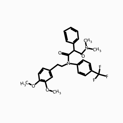 COc1ccc(CCN(C(=O)C(C(=O)N(C)C)c2ccccc2)c2ccc(C(F)(F)F)cc2)cc1OC